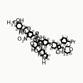 CC(C)c1ccccc1[C@@H]1COCCCN1[C@@H]1CC2(CCN(c3ccc(C(=O)NS(=O)(=O)c4cc5c(c([N+](=O)[O-])c4)N[C@H](C4(F)CCC(C)(O)CC4)CO5)c(N4c5cc6cc[nH]c6nc5O[C@H]5COCC[C@@H]54)c3)CC2)[C@H]1C